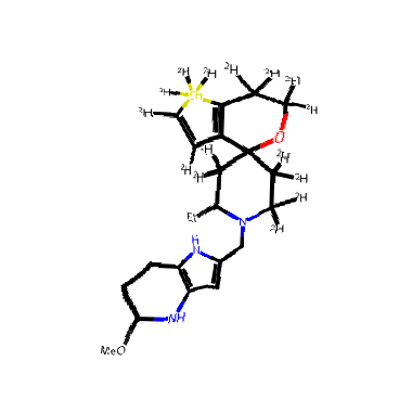 [2H]C1=C([2H])[SH]([2H])([2H])([2H])C2=C1C1(OC([2H])([2H])C2([2H])[2H])C([2H])([2H])C(CC)N(Cc2cc3c([nH]2)CCC(OC)N3)C([2H])([2H])C1([2H])[2H]